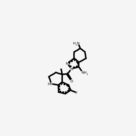 CC1(C(=O)n2nc3c(c2N)CCC(N)C3)CCNc2ccc(F)cc21